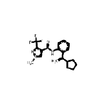 C=C(c1ccccc1NC(=O)c1cn(C)nc1C(F)(F)F)C1CCCC1